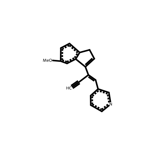 C#C/C(=C\c1cccnc1)C1=CCc2ccc(OC)cc21